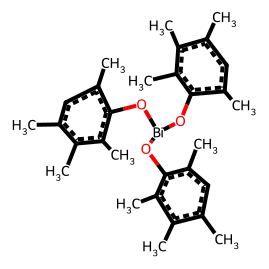 Cc1cc(C)c([O][Bi]([O]c2c(C)cc(C)c(C)c2C)[O]c2c(C)cc(C)c(C)c2C)c(C)c1C